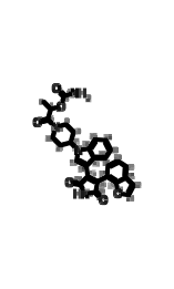 CC(OC(N)=O)C(=O)N1CCC(n2cc(C3=C(c4cccc5ccoc45)C(=O)NC3=O)c3ccccc32)CC1